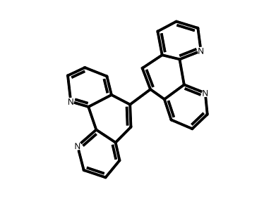 c1cnc2c(c1)cc(-c1cc3cccnc3c3ncccc13)c1cccnc12